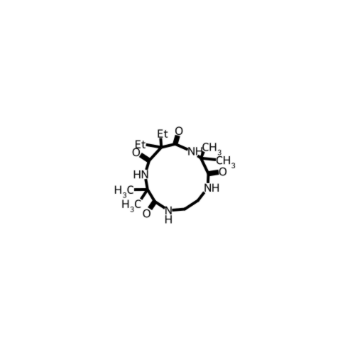 CCC1(CC)C(=O)NC(C)(C)C(=O)NCCNC(=O)C(C)(C)NC1=O